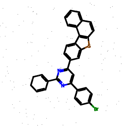 Brc1ccc(-c2cc(-c3ccc4c(c3)sc3ccc5ccccc5c34)nc(C3=CCCC=C3)n2)cc1